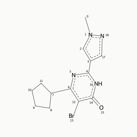 Cn1cc(-c2nc(C3CCCC3)c(Br)c(=O)[nH]2)cn1